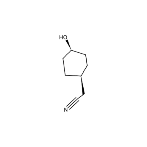 N#CC[C@H]1CC[C@@H](O)CC1